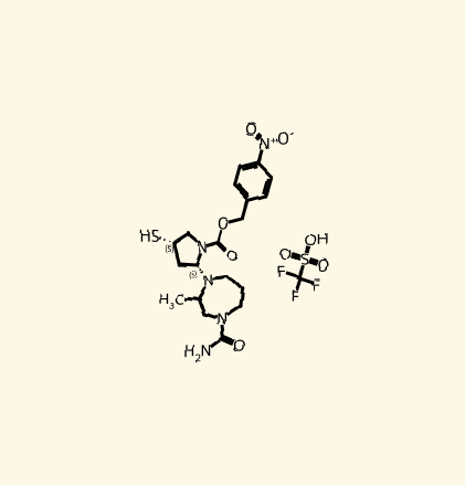 CC1CN(C(N)=O)CCCN1[C@@H]1C[C@H](S)CN1C(=O)OCc1ccc([N+](=O)[O-])cc1.O=S(=O)(O)C(F)(F)F